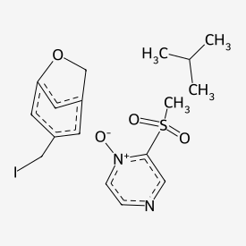 CC(C)C.CS(=O)(=O)c1cncc[n+]1[O-].ICc1cc2cc(c1)OC2